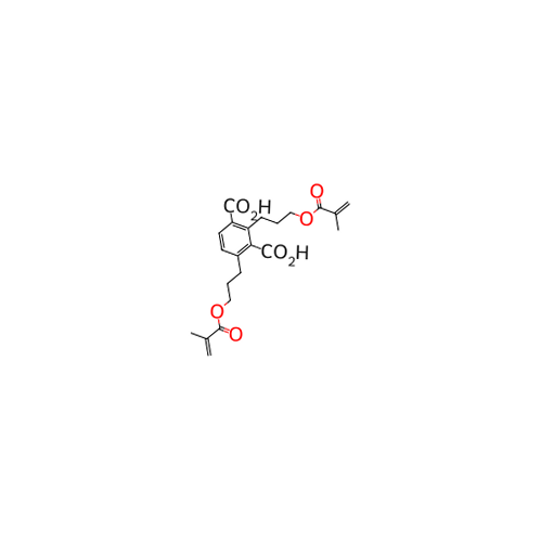 C=C(C)C(=O)OCCCc1ccc(C(=O)O)c(CCCOC(=O)C(=C)C)c1C(=O)O